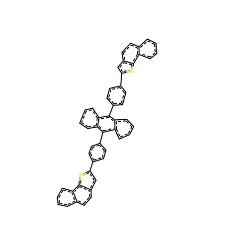 c1ccc2c(c1)ccc1cc(-c3ccc(-c4c5ccccc5c(-c5ccc(-c6cc7ccc8ccccc8c7s6)cc5)c5ccccc45)cc3)sc12